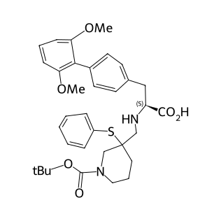 COc1cccc(OC)c1-c1ccc(C[C@H](NCC2(Sc3ccccc3)CCCN(C(=O)OC(C)(C)C)C2)C(=O)O)cc1